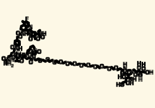 CC[C@@]1(O)C(=O)OCc2c1cc1n(c2=O)Cc2c-1nc1cc(F)c(C)c3c1c2[C@@H](NC(=O)OCc1ccc(NC(=O)[C@H](CCCNC(N)=O)NC(=O)[C@@H](NC(=O)[C@H](CCC(=O)NCCOCCOCCOCCOCCOCCOCCOCCOCCOCCOCCOCCOCCC(=O)NCCN(C[C@H](O)[C@@H](O)[C@H](O)[C@H](O)CO)C[C@H](O)[C@@H](O)[C@H](O)[C@H](O)CO)NC(=O)CCCCCN2C(=O)C=CC2=O)C(C)C)cc1)CC3